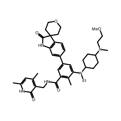 CCN(c1cc(-c2ccc3c(c2)NC(=O)C32CCOCC2)cc(C(=O)NCc2c(C)cc(C)[nH]c2=O)c1C)C1CCC(N(C)CCOC)CC1